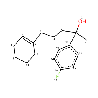 CC(O)(CCCC1=CCCCC1)c1ccc(F)cc1